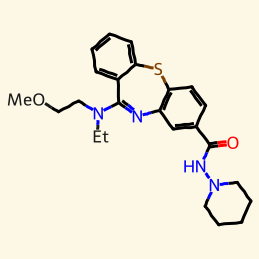 CCN(CCOC)C1=Nc2cc(C(=O)NN3CCCCC3)ccc2Sc2ccccc21